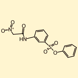 O=C(C[N+](=O)[O-])Nc1cccc(S(=O)(=O)Oc2ccccc2)c1